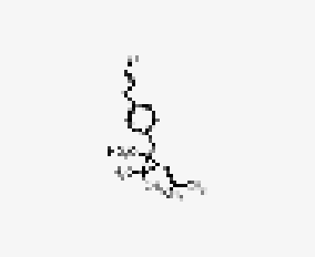 CC(C)=CC1C(C)(C)C1(Cc1ccc(CC=CCl)cc1)C(=O)O